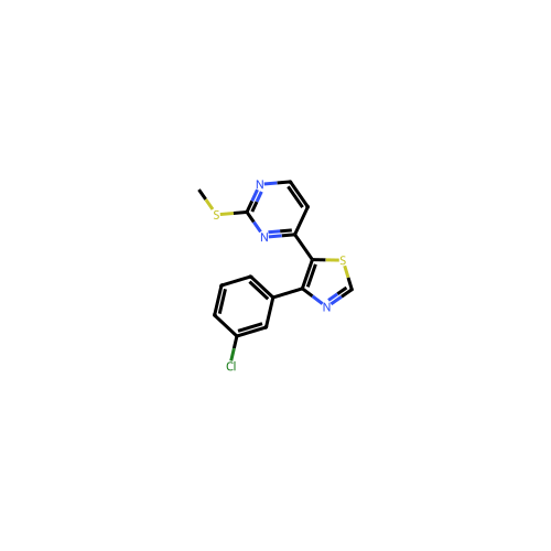 CSc1nccc(-c2scnc2-c2cccc(Cl)c2)n1